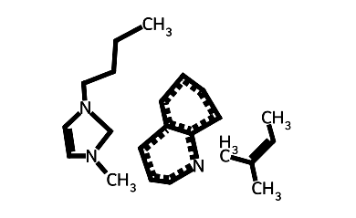 CC=C(C)C.CCCCN1C=CN(C)C1.c1ccc2ncccc2c1